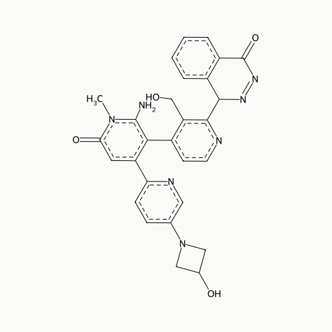 Cn1c(N)c(-c2ccnc(C3N=NC(=O)c4ccccc43)c2CO)c(-c2ccc(N3CC(O)C3)cn2)cc1=O